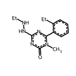 CCNNc1nc(-c2ccccc2CC)n(C)c(=O)n1